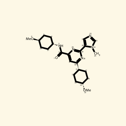 CO[C@H]1CC[C@H](NC(=O)c2cc([C@H]3CC[C@@H](OC)CC3)nc(-c3cncn3C)n2)CC1